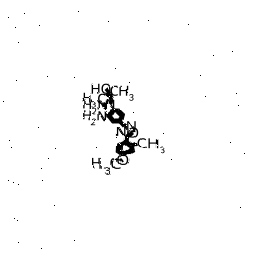 COc1ccc(-c2nc(-c3ccc(N(N)CC(C)(C)O)c(N)c3)no2)c(C)c1